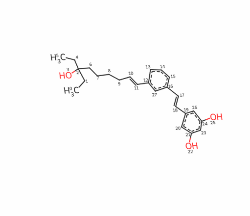 CCC(O)(CC)CCCCC=Cc1cccc(C=Cc2cc(O)cc(O)c2)c1